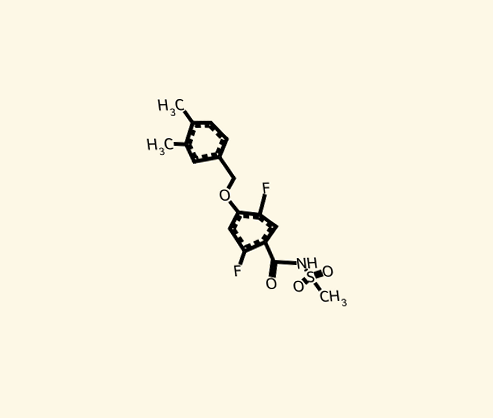 Cc1ccc(COc2cc(F)c(C(=O)NS(C)(=O)=O)cc2F)cc1C